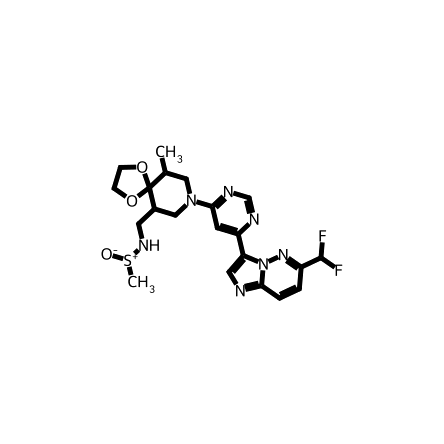 CC1CN(c2cc(-c3cnc4ccc(C(F)F)nn34)ncn2)CC(CN[S+](C)[O-])C12OCCO2